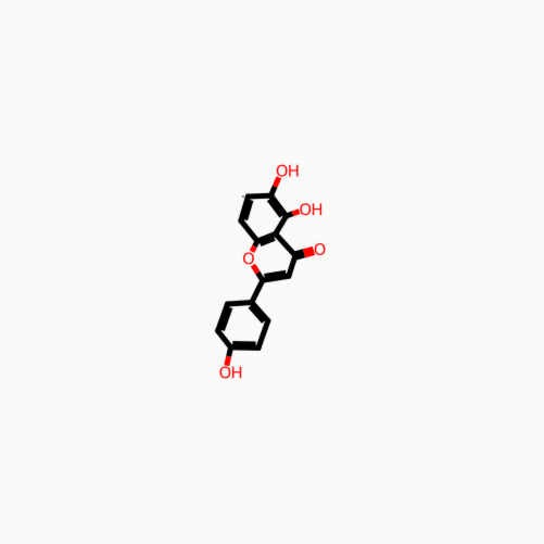 O=c1cc(-c2ccc(O)cc2)oc2c[c]c(O)c(O)c12